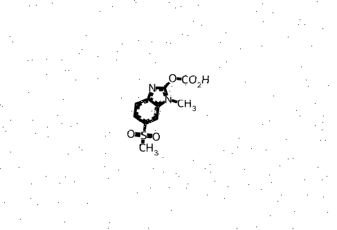 Cn1c(OC(=O)O)nc2ccc(S(C)(=O)=O)cc21